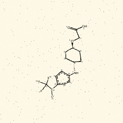 O=C(O)CO[C@H]1CC[C@H](Nc2ccc([S+]([O-])C(F)(F)F)cc2)CC1